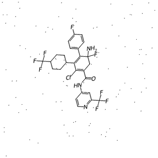 NC1(F)CC(C(=O)Nc2ccnc(C(F)(F)F)c2)=C(Cl)C(C2CCC(C(F)(F)F)CC2)=C1c1ccc(F)cc1